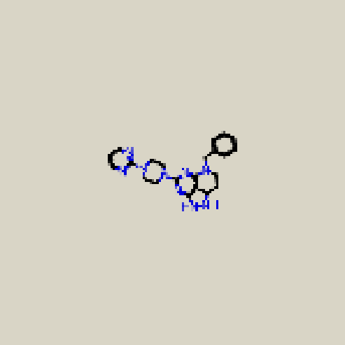 c1ccc(CN2CCC3NNc4nc(N5CCN(c6ncccn6)CC5)nc2c43)cc1